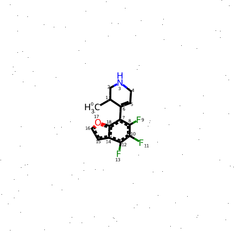 CC1CNCC=C1c1c(F)c(F)c(F)c2ccoc12